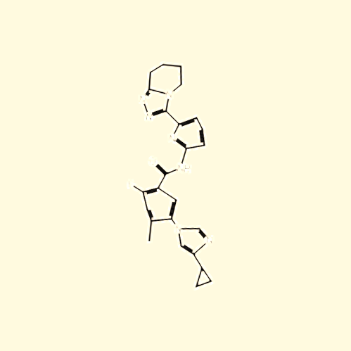 Cc1cc(F)c(C(=O)Nc2cccc(-c3nnc4n3CCCC4)n2)cc1-n1cnc(C2CC2)c1